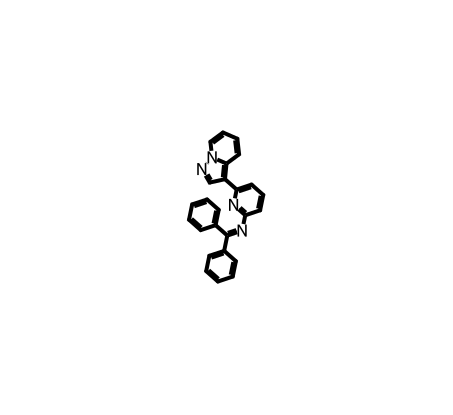 c1ccc(C(=Nc2cccc(-c3cnn4ccccc34)n2)c2ccccc2)cc1